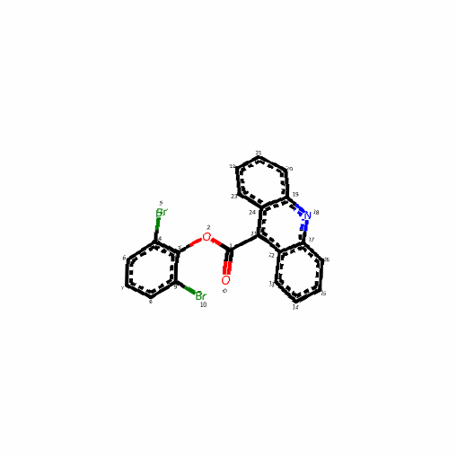 O=C(Oc1c(Br)cccc1Br)c1c2ccccc2nc2ccccc12